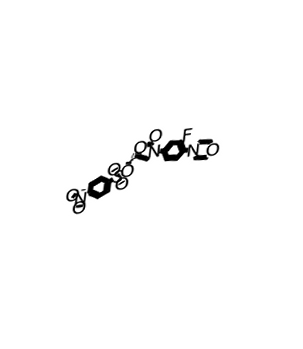 O=C1O[C@@H](COS(=O)(=O)c2ccc([N+](=O)[O-])cc2)CN1c1ccc(N2CCOCC2)c(F)c1